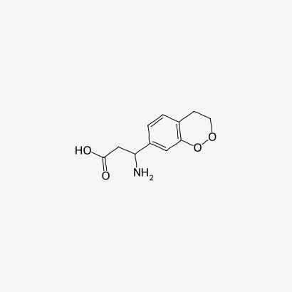 NC(CC(=O)O)c1ccc2c(c1)OOCC2